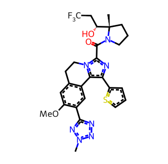 COc1cc2c(cc1-c1nnn(C)n1)-c1c(-c3cccs3)nc(C(=O)N3CCC[C@@]3(C)[C@H](O)CC(F)(F)F)n1CC2